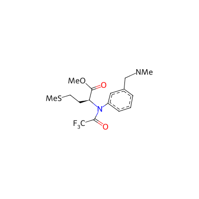 CNCc1cccc(N(C(=O)C(F)(F)F)[C@@H](CCSC)C(=O)OC)c1